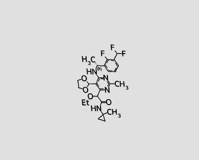 CCOC(C(=O)NC1(C)CC1)c1nc(C)nc(N[C@H](C)c2cccc(C(F)F)c2F)c1C1OCCO1